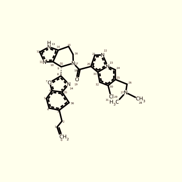 C=CCc1ccc2oc([C@@H]3c4nc[nH]c4CCN3C(=O)c3cnn4cc(CN(C)C)c(Cl)cc34)nc2c1